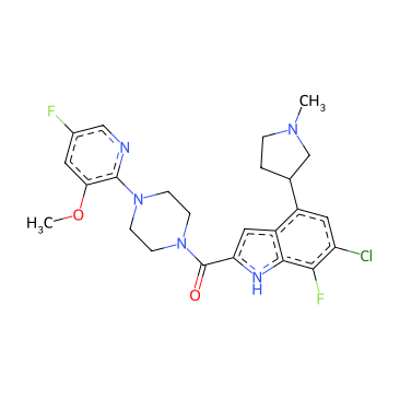 COc1cc(F)cnc1N1CCN(C(=O)c2cc3c(C4CCN(C)C4)cc(Cl)c(F)c3[nH]2)CC1